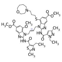 CCc1nc(C)sc1C(=O)Nc1nc2cc(C(=O)OC)cc(OC)c2n1C/C=C/Cn1c(NC(=O)c2cc(C)nn2CC)nc2cc(C(=O)OC)cc(SCCCN3CCCCOCC3)c21